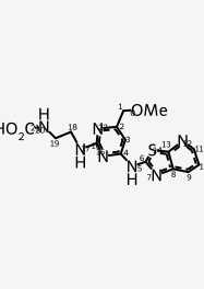 COCc1cc(Nc2nc3cccnc3s2)nc(NCCNC(=O)O)n1